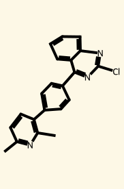 Cc1ccc(-c2ccc(-c3nc(Cl)nc4ccccc34)cc2)c(C)n1